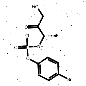 CC(C)[C@H](NP(=O)(Cl)Oc1ccc(Br)cc1)C(=O)CO